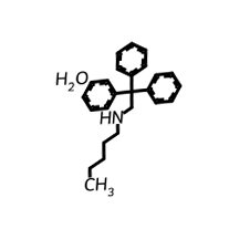 CCCCCNCC(c1ccccc1)(c1ccccc1)c1ccccc1.O